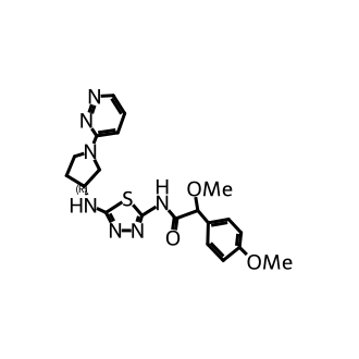 COc1ccc(C(OC)C(=O)Nc2nnc(N[C@@H]3CCN(c4cccnn4)C3)s2)cc1